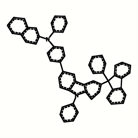 c1ccc(N(c2ccc(-c3ccc4c(c3)c3cc(C5(c6ccccc6)c6ccccc6-c6ccccc65)ccc3n4-c3ccccc3)cc2)c2ccc3ccccc3c2)cc1